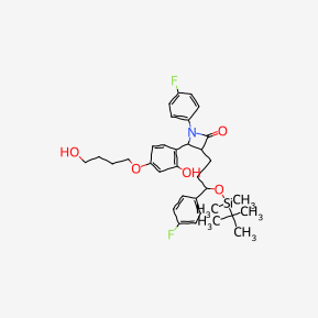 CC(C)(C)[Si](C)(C)OC(CCC1C(=O)N(c2ccc(F)cc2)C1c1ccc(OCCCCO)cc1O)c1ccc(F)cc1